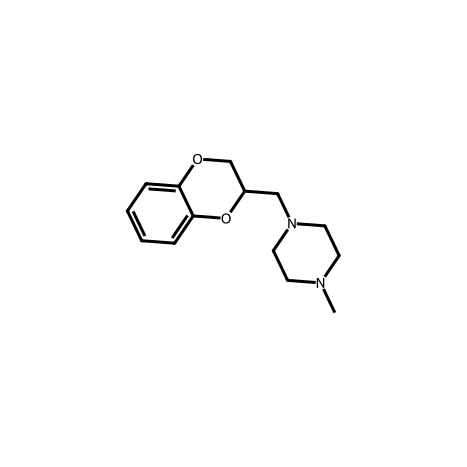 CN1CCN(CC2COc3ccccc3O2)CC1